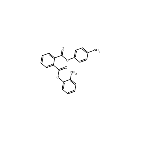 Nc1ccc(OC(=O)c2ccccc2C(=O)Oc2ccccc2N)cc1